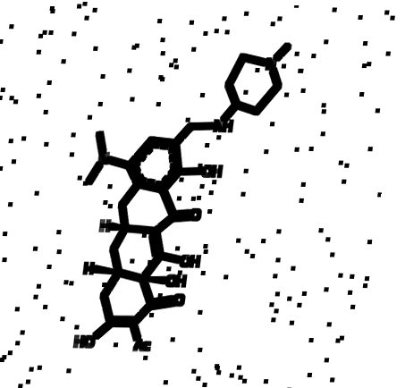 CC(=O)C1=C(O)C[C@@H]2C[C@@H]3Cc4c(N(C)C)cc(CNC5CCN(C)CC5)c(O)c4C(=O)C3=C(O)[C@]2(O)C1=O